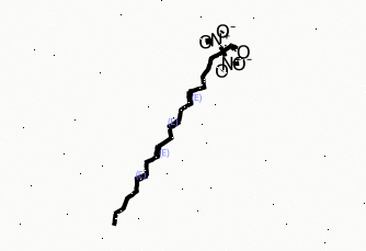 CCCCC/C=C/C/C=C/C/C=C/C/C=C/CCCCC([C]=O)([N+](=O)[O-])[N+](=O)[O-]